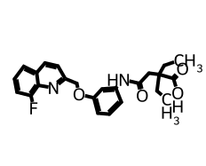 CCC(CC)(CC(=O)Nc1cccc(OCc2ccc3cccc(F)c3n2)c1)C(=O)O